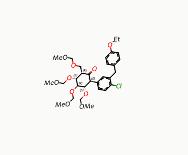 CCOc1ccc(Cc2cc([C@@H]3C(=O)[C@H](COCOC)[C@@H](OCOC)[C@H](OCOC)[C@H]3OCOC)ccc2Cl)cc1